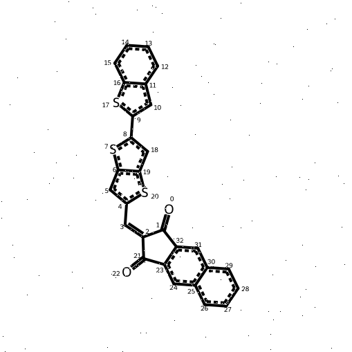 O=C1C(=Cc2cc3sc(-c4cc5ccccc5s4)cc3s2)C(=O)c2cc3ccccc3cc21